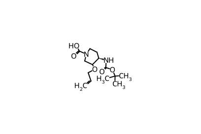 C=CCO[C@H]1CN(C(=O)O)CC[C@H]1NC(=O)OC(C)(C)C